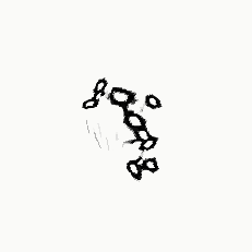 CC1(C)c2cc(-n3c4ccccc4c4ccccc43)ccc2-c2cc3c(cc21)c1cc(-n2c4ccccc4c4ccccc42)ccc1n3-c1ccccc1